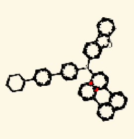 c1ccc(-c2cccc3cccc(-c4ccc(N(c5ccc(-c6ccc(C7CCCCC7)cc6)cc5)c5ccc6c(c5)oc5ccccc56)cc4)c23)cc1